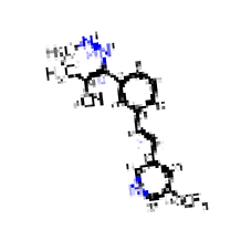 C/N=N\C(=C(/C)C#N)c1cccc(/C=C/c2cncc(C(F)(F)F)c2)c1